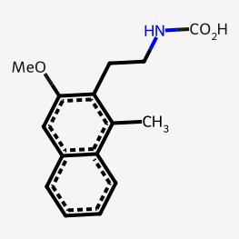 COc1cc2ccccc2c(C)c1CCNC(=O)O